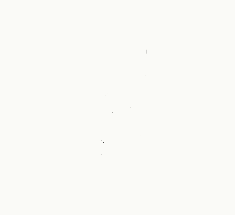 O=C1Cc2cccc(NS(=O)(=O)c3ccc(Cl)cc3)c2N1